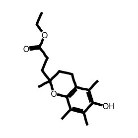 CCOC(=O)CCC1(C)CCc2c(C)c(O)c(C)c(C)c2O1